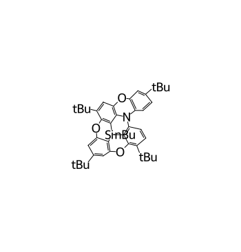 CCCC[Si]12c3c4cc(C(C)(C)C)cc3Oc3c(C(C)(C)C)cc5c(c31)N(c1ccc(C(C)(C)C)cc1O5)c1ccc(C(C)(C)C)c(c12)O4